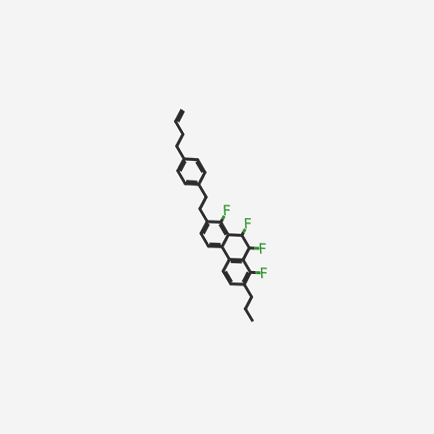 C=CCCc1ccc(CCc2ccc3c(c2F)C(F)C(F)c2c-3ccc(CCC)c2F)cc1